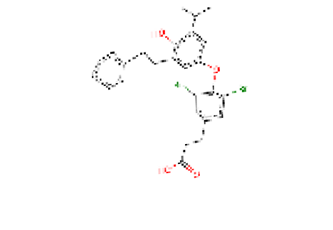 CC(C)c1cc(Oc2c(Br)cc(CCC(=O)O)cc2Br)cc(CCc2ccccc2)c1O